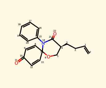 C=CCC[C@H]1COC2(C=CC(=O)C=C2)N(c2ccccc2)C1=O